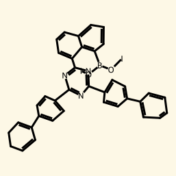 IOB(OI)c1cccc2cccc(-c3nc(-c4ccc(C5=CCCC=C5)cc4)nc(-c4ccc(-c5ccccc5)cc4)n3)c12